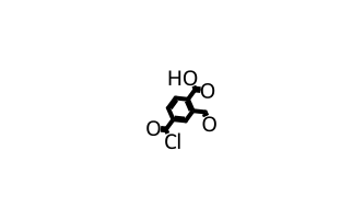 O=Cc1cc(C(=O)Cl)ccc1C(=O)O